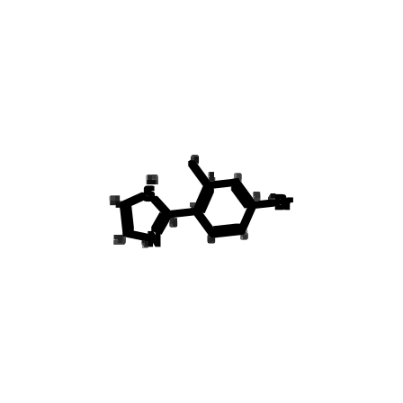 Cc1cc(Br)ccc1-c1nc[c]s1